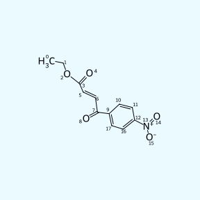 CCOC(=O)/C=C/C(=O)c1ccc([N+](=O)[O-])cc1